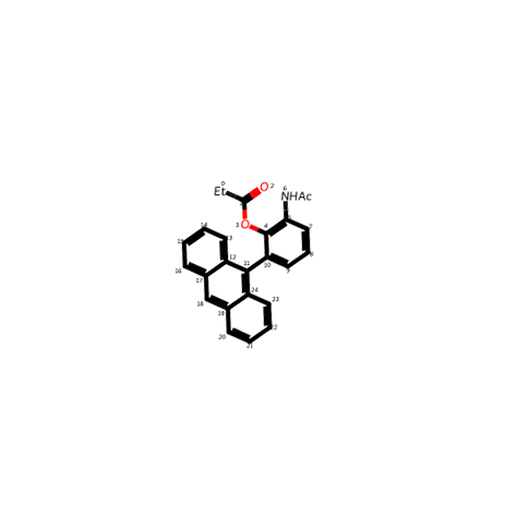 CCC(=O)Oc1c(NC(C)=O)cccc1-c1c2ccccc2cc2ccccc12